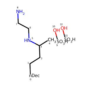 CCCCCCCCCCCCC(C)NCCN.O=S(=O)(O)O.O=S(=O)(O)O